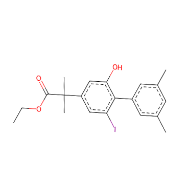 CCOC(=O)C(C)(C)c1cc(O)c(-c2cc(C)cc(C)c2)c(I)c1